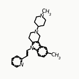 Cc1ccc2c(c1)c1c(n2/C=C/c2ccccn2)CCN(C2CCN(C)CC2)C1